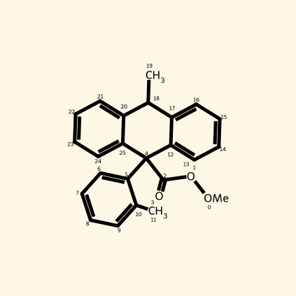 COOC(=O)C1(c2ccccc2C)c2ccccc2C(C)c2ccccc21